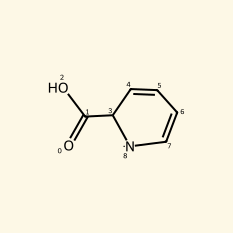 O=C(O)C1C=CC=C[N]1